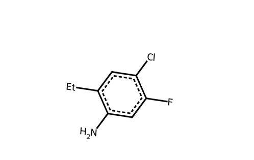 CCc1cc(Cl)c(F)cc1N